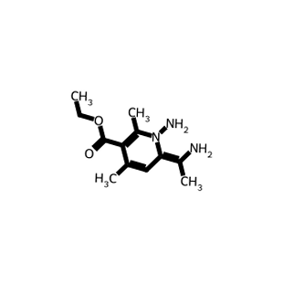 CCOC(=O)C1=C(C)N(N)/C(=C(/C)N)C=C1C